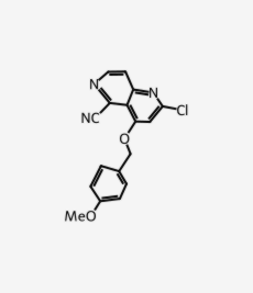 COc1ccc(COc2cc(Cl)nc3ccnc(C#N)c23)cc1